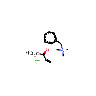 C=CC(=O)C(=O)O.C[N+](C)(C)Cc1ccccc1.[Cl-]